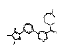 Cc1nc(-c2cc(-c3cncc(C(=O)N4CCCN(C)CC4)c3)ccn2)[nH]c1C